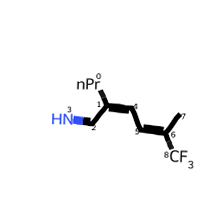 CCC/C(C=N)=C/C=C(\C)C(F)(F)F